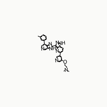 Cc1cccc(-c2cncc3[nH]c(-c4n[nH]c5ccc(-c6cncc(OCCN(C)C)c6)nc45)nc23)c1